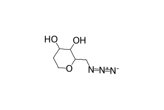 [N-]=[N+]=NCC1OCCC(O)C1O